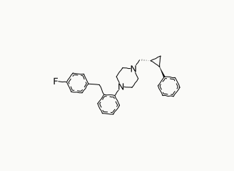 Fc1ccc(Cc2ccccc2N2CCN(C[C@@H]3C[C@H]3c3ccccc3)CC2)cc1